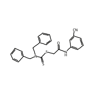 N#Cc1cccc(NC(=O)CSC(=S)N(Cc2ccccc2)Cc2ccccc2)c1